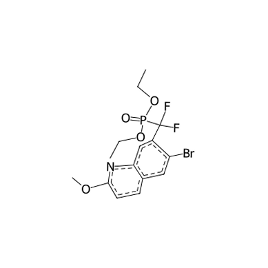 CCOP(=O)(OCC)C(F)(F)c1cc2nc(OC)ccc2cc1Br